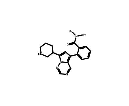 CC(C)N(C(=O)c1ccccc1-c1cc(C2CCCNC2)n2ncncc12)C(C)C